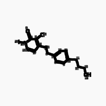 O=c1c(Cl)c(SCc2ccc(CCCO)cc2)cnn1I